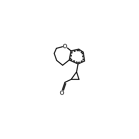 O=CC1CC1c1cccc2c1CCCCO2